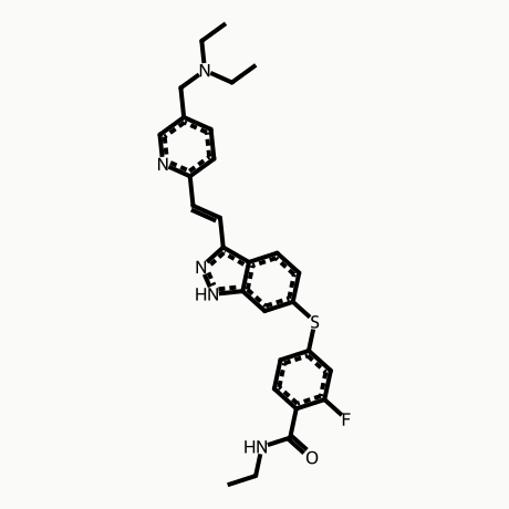 CCNC(=O)c1ccc(Sc2ccc3c(/C=C/c4ccc(CN(CC)CC)cn4)n[nH]c3c2)cc1F